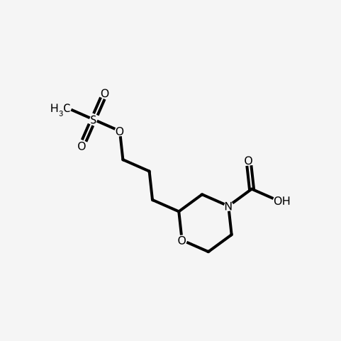 CS(=O)(=O)OCCCC1CN(C(=O)O)CCO1